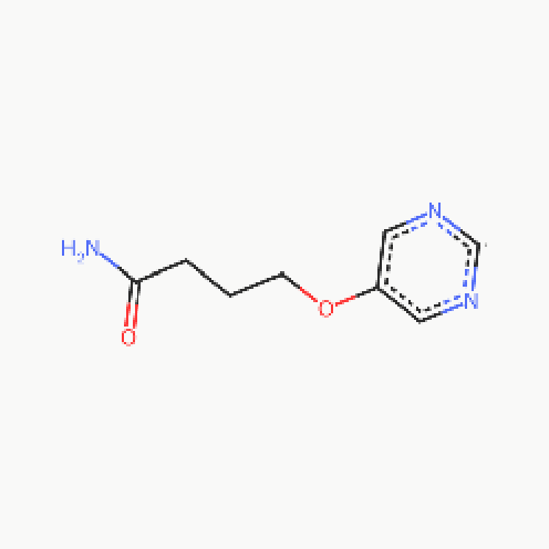 NC(=O)CCCOc1cn[c]nc1